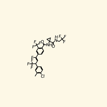 Cc1cc(C(C=C(F)c2ccc(C(=O)NC3(C(=O)NCC(F)(F)F)CC3)c(C(F)(F)F)c2)C(F)(F)F)ccc1Cl